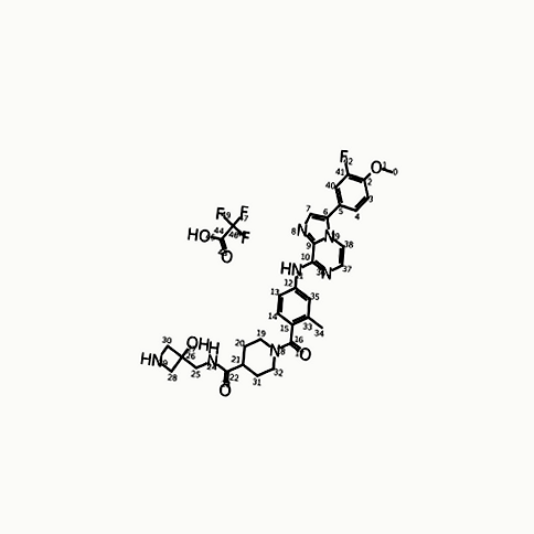 COc1ccc(-c2cnc3c(Nc4ccc(C(=O)N5CCC(C(=O)NCC6(O)CNC6)CC5)c(C)c4)nccn23)cc1F.O=C(O)C(F)(F)F